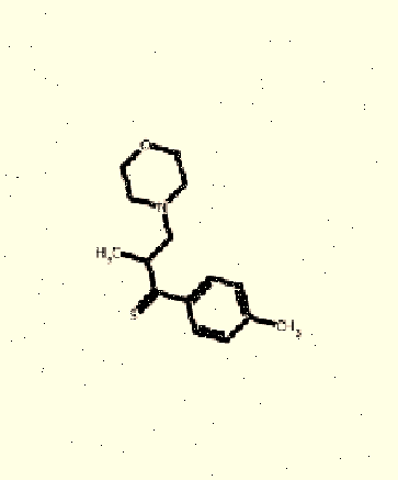 Cc1ccc(C(=S)C(C)CN2CCOCC2)cc1